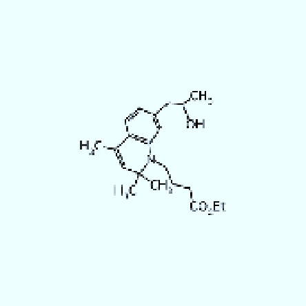 CCOC(=O)CCCN1c2cc(CC(C)O)ccc2C(C)=CC1(C)C